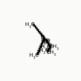 CCCCCCCCCCCCCCOCC(COC(=O)NCCOC(C)(C)CCOC(C)C)OCCCCCCCCCCCCCC